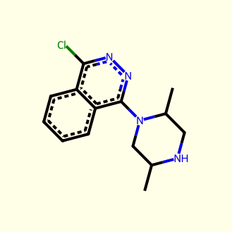 CC1CN(c2nnc(Cl)c3ccccc23)C(C)CN1